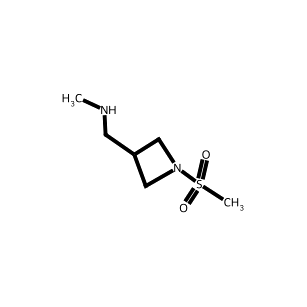 CNCC1CN(S(C)(=O)=O)C1